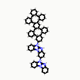 c1ccc2c(c1)nc1n(-c3ccc4nc5n(-c6ccc7c8ccccc8c8cc9c%10ccccc%10c%10ccccc%10c%10ccccc%10c9cc8c8ccccc8c7c6)c6ccccc6n5c4c3)c3ccccc3n21